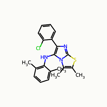 Cc1cccc(C)c1Nc1c(-c2ccccc2Cl)nc2sc(C)c(C)n12